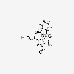 CCCn1cc(C=O)c(C=O)c1N1C(=O)c2ccccc2C1=O